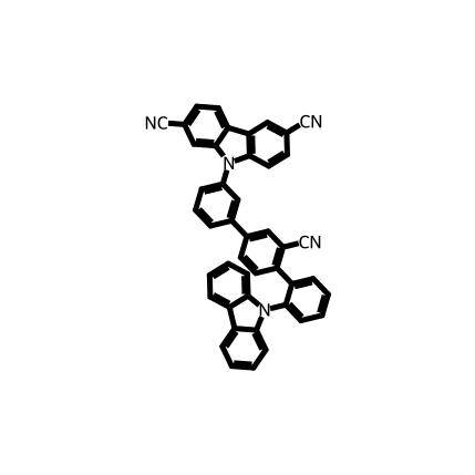 N#Cc1ccc2c(c1)c1ccc(C#N)cc1n2-c1cccc(-c2ccc(-c3ccccc3-n3c4ccccc4c4ccccc43)c(C#N)c2)c1